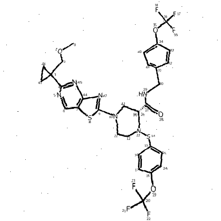 COCC1(c2ncc3sc(N4CCN(Sc5ccc(OC(F)(F)F)cc5)[C@@H](C(=O)NCc5ccc(OC(F)(F)F)cc5)C4)nc3n2)CC1